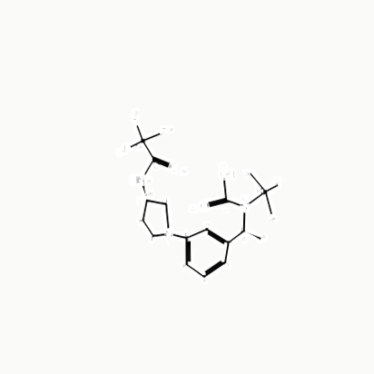 C[C@@H](c1cccc(N2CC[C@@H](NC(=O)C(F)(F)F)C2)c1)N(C(=O)O)C(C)(C)C